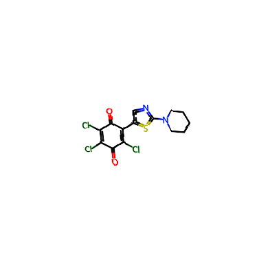 O=C1C(Cl)=C(Cl)C(=O)C(c2cnc(N3CCCCC3)s2)=C1Cl